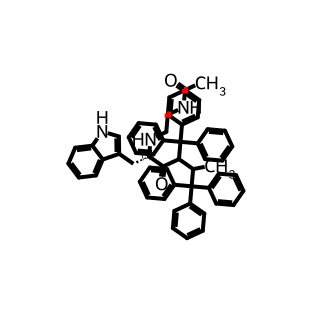 CC(=O)NCCN[C@@H](Cc1c[nH]c2ccccc12)C(=O)C(C(C)C(c1ccccc1)(c1ccccc1)c1ccccc1)C(c1ccccc1)(c1ccccc1)c1ccccc1